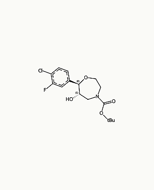 CC(C)(C)OC(=O)N1CCO[C@H](c2ccc(Cl)c(F)c2)[C@@H](O)C1